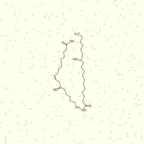 CCCCCCC(O)CCCCCCCCCCC(=O)O.CCCCCC[C@@H](O)C/C=C\CCCCCCCC(=O)O